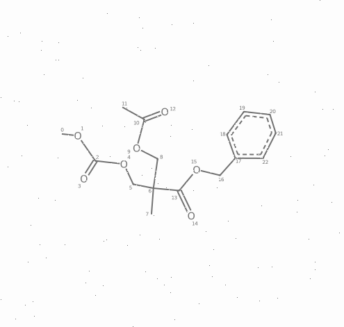 COC(=O)OCC(C)(COC(C)=O)C(=O)OCc1ccccc1